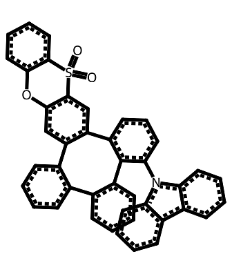 O=S1(=O)c2ccccc2Oc2cc3c(cc21)-c1cccc(-n2c4ccccc4c4ccccc42)c1-c1ccccc1-c1ccccc1-3